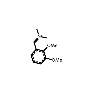 COc1cccc(C=[N+](C)C)c1OC